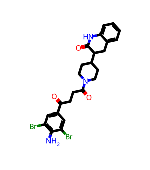 Nc1c(Br)cc(C(=O)CCC(=O)N2CCC(C3Cc4ccccc4NC3=O)CC2)cc1Br